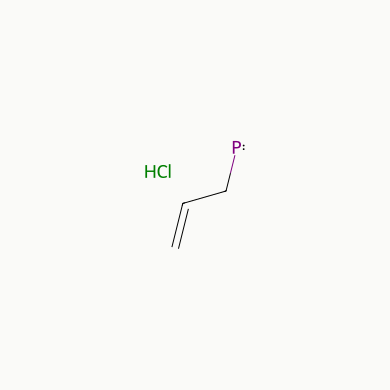 C=CC[P].Cl